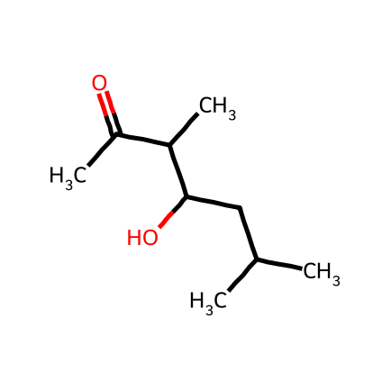 CC(=O)C(C)C(O)CC(C)C